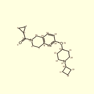 O=C(C1CC1)N1CCc2nc(OC3CCN(C4CCC4)CC3)ccc2C1